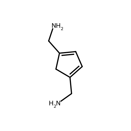 NCC1=CC=C(CN)C1